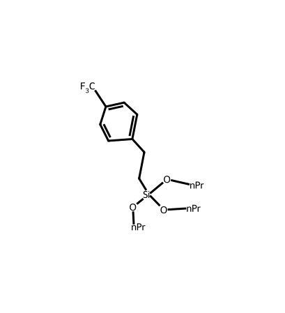 CCCO[Si](CCc1ccc(C(F)(F)F)cc1)(OCCC)OCCC